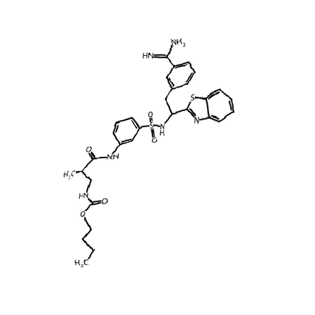 CCCCOC(=O)NC[C@@H](C)C(=O)Nc1cccc(S(=O)(=O)NC(Cc2cccc(C(=N)N)c2)c2nc3ccccc3s2)c1